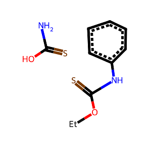 CCOC(=S)Nc1ccccc1.NC(O)=S